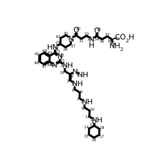 N=N/C(=C\NCCCNCCCNC1CCCCC1)CNc1nc(NC2CCN(C(=O)CCNC(=O)CC[C@H](N)C(=O)O)CC2)c2ccccc2n1